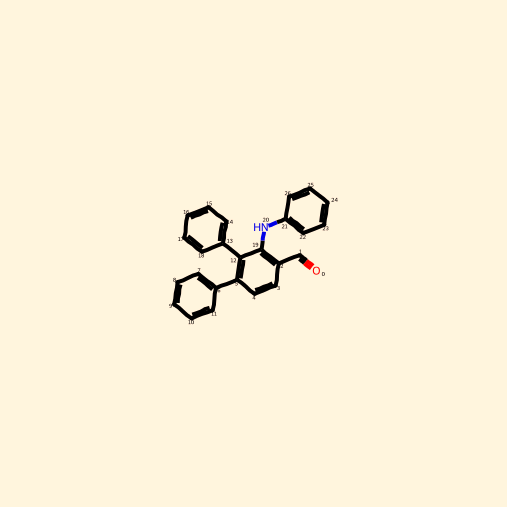 O=Cc1ccc(-c2ccccc2)c(-c2ccccc2)c1Nc1ccccc1